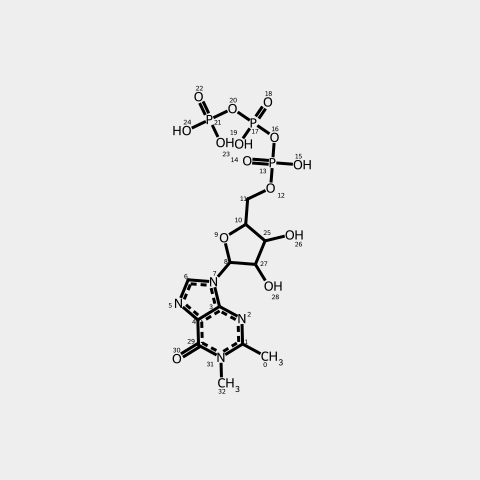 Cc1nc2c(ncn2C2OC(COP(=O)(O)OP(=O)(O)OP(=O)(O)O)C(O)C2O)c(=O)n1C